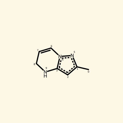 Cc1cc2n(n1)C=CCN2